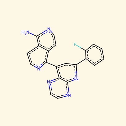 Nc1nccc2c(-c3cc(-c4ccccc4F)nc4nccnc34)nccc12